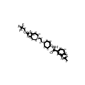 Cc1nc2cc(C(=O)N[C@H]3CC[C@H](CCN4CCc5nc(OCC(F)(F)F)sc5CC4)CC3)ccc2s1